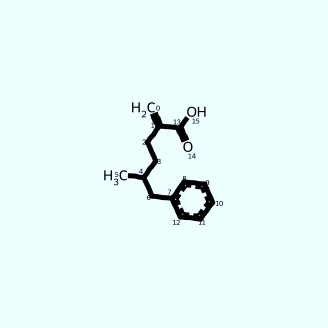 C=C(CCC(C)Cc1ccccc1)C(=O)O